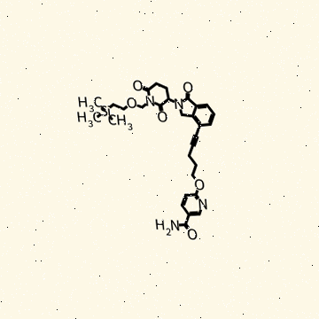 C[Si](C)(C)CCOCN1C(=O)CCC(N2Cc3c(C#CCCCOc4ccc(C(N)=O)cn4)cccc3C2=O)C1=O